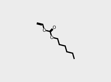 C=COC(=O)OCCCCCC